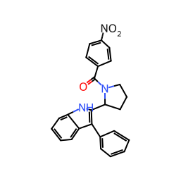 O=C(c1ccc([N+](=O)[O-])cc1)N1CCCC1c1[nH]c2ccccc2c1-c1ccccc1